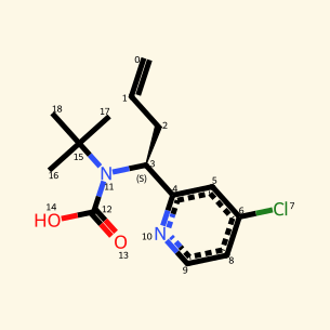 C=CC[C@@H](c1cc(Cl)ccn1)N(C(=O)O)C(C)(C)C